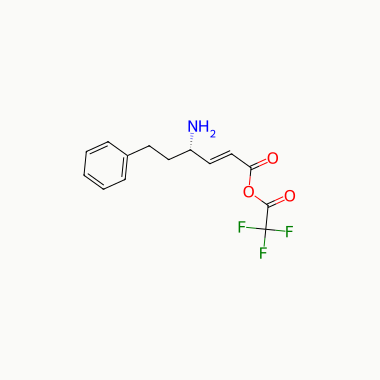 N[C@H](/C=C/C(=O)OC(=O)C(F)(F)F)CCc1ccccc1